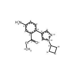 COC(=O)c1cc(N)ccc1-c1cnn(C2CCC2)c1